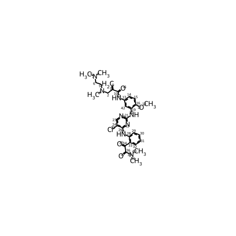 C=C(CN(C)CCN(C)C)C(=O)Nc1ccc(OC)c(Nc2ncc(Cl)c(Nc3ccccc3C(=O)C(=O)N(C)C)n2)c1